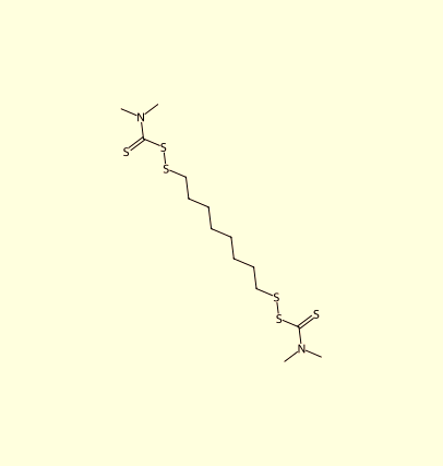 CN(C)C(=S)SSCCCCCCCCSSC(=S)N(C)C